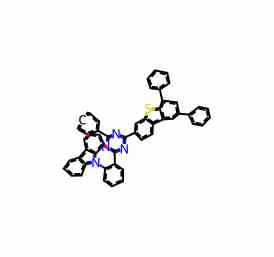 c1ccc(-c2cc(-c3ccccc3)c3sc4cc(-c5nc(-c6ccccc6)nc(-c6ccccc6-n6c7ccccc7c7ccccc76)n5)ccc4c3c2)cc1